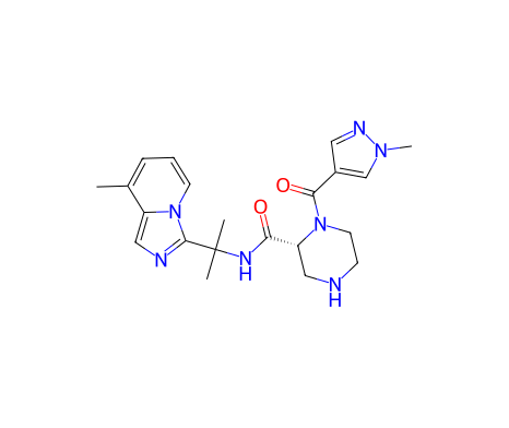 Cc1cccn2c(C(C)(C)NC(=O)[C@H]3CNCCN3C(=O)c3cnn(C)c3)ncc12